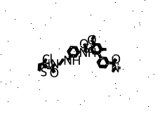 COc1cc(C)c(-c2cccc(C(=O)N(C)C)c2)cc1[S+]([O-])Nc1cccc(NCCNC(=O)c2sccc2Cl)c1